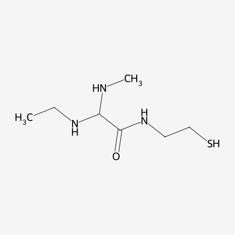 CCNC(NC)C(=O)NCCS